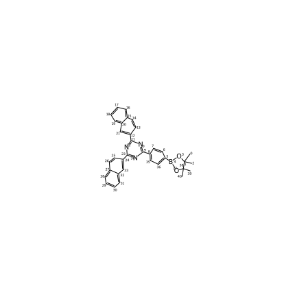 CC1(C)OB(c2ccc(-c3nc(-c4ccc5ccccc5c4)nc(-c4ccc5ccccc5c4)n3)cc2)OC1(C)C